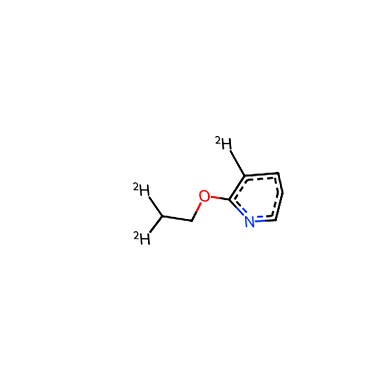 [2H]c1cccnc1OCC([2H])[2H]